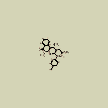 CC(C)CN(C(=O)Nc1ccc(F)cc1)[C@@H](C)c1nn(C)c(=O)c2ccccc12